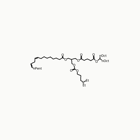 CCCCC/C=C\C/C=C\CCCCCCCC(=O)OCC(COC(=O)CCCC(=O)OC(CCCCCCCC)CCCCCCCC)COC(=O)OCCCN(CC)CC